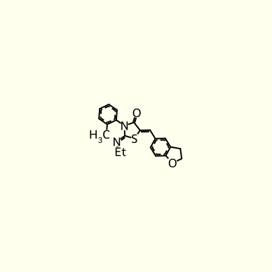 CC/N=C1\S/C(=C\c2ccc3c(c2)CCO3)C(=O)N1c1ccccc1C